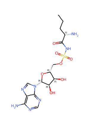 CCC[C@H](N)C(=O)NS(=O)(=O)OC[C@H]1O[C@@H](n2cnc3c(N)ncnc32)[C@H](O)[C@@H]1O